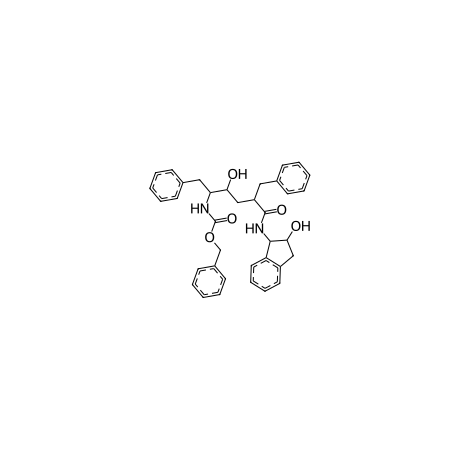 O=C(NC(Cc1ccccc1)C(O)CC(Cc1ccccc1)C(=O)NC1c2ccccc2CC1O)OCc1ccccc1